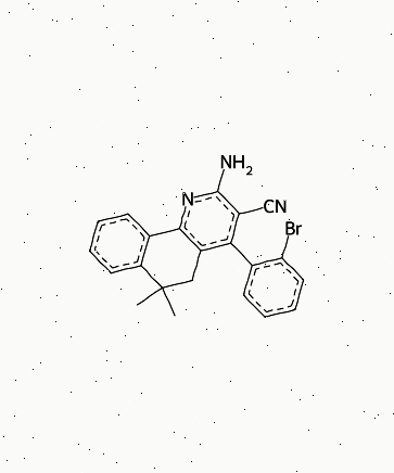 CC1(C)Cc2c(nc(N)c(C#N)c2-c2ccccc2Br)-c2ccccc21